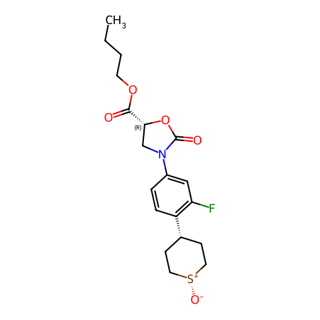 CCCCOC(=O)[C@H]1CN(c2ccc([C@H]3CC[S@@+]([O-])CC3)c(F)c2)C(=O)O1